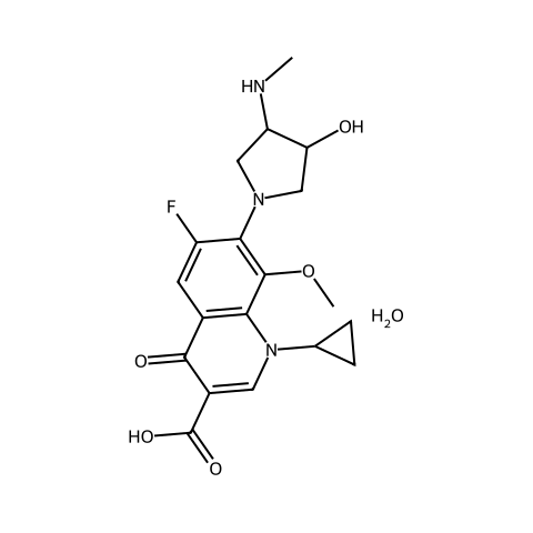 CNC1CN(c2c(F)cc3c(=O)c(C(=O)O)cn(C4CC4)c3c2OC)CC1O.O